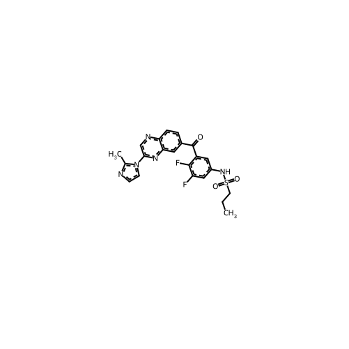 CCCS(=O)(=O)Nc1cc(F)c(F)c(C(=O)c2ccc3ncc(-n4ccnc4C)nc3c2)c1